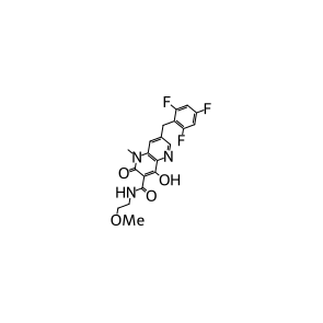 COCCNC(=O)c1c(O)c2ncc(Cc3c(F)cc(F)cc3F)cc2n(C)c1=O